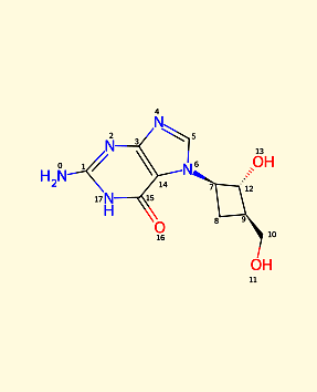 Nc1nc2ncn([C@@H]3C[C@H](CO)[C@H]3O)c2c(=O)[nH]1